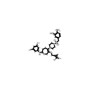 Nc1ccc(CS(=O)(=O)N2CCN(C3=C(OCC4CC4(F)F)COC(Nc4cc(F)cc(F)c4)CC3)CC2)cc1O